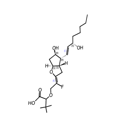 CCCCC[C@H](O)/C=C/[C@@H]1[C@@H]2C/C(=C(\F)COC(C(=O)O)C(C)(C)C)O[C@H]2C[C@H]1O